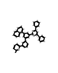 Cc1cccc(-c2cccc(-c3cc(-c4nc(-c5ccccc5)cc(-c5ccccc5)n4)cc(-c4cccc5ccccc45)c3)c2)n1